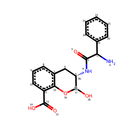 NC(C(=O)N[C@H]1Cc2cccc(C(=O)O)c2OB1O)c1ccccc1